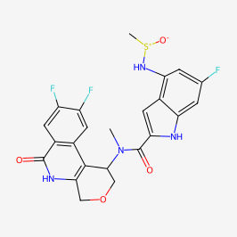 CN(C(=O)c1cc2c(N[S+](C)[O-])cc(F)cc2[nH]1)C1COCc2[nH]c(=O)c3cc(F)c(F)cc3c21